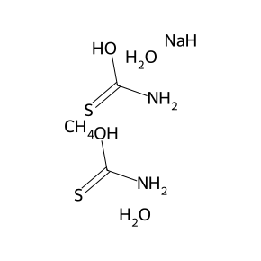 C.NC(O)=S.NC(O)=S.O.O.[NaH]